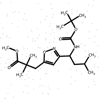 COC(=O)C(C)(C)Cc1cc(C(CC(C)C)NC(=O)OC(C)(C)C)no1